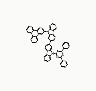 c1ccc(-c2nc(-c3ccccc3)nc(-n3c4ccccc4c4ccc(-c5ccc6c7ccccc7n(-c7ccc8c9ccccc9c9ccccc9c8c7)c6c5)cc43)n2)cc1